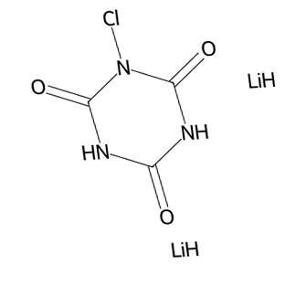 O=c1[nH]c(=O)n(Cl)c(=O)[nH]1.[LiH].[LiH]